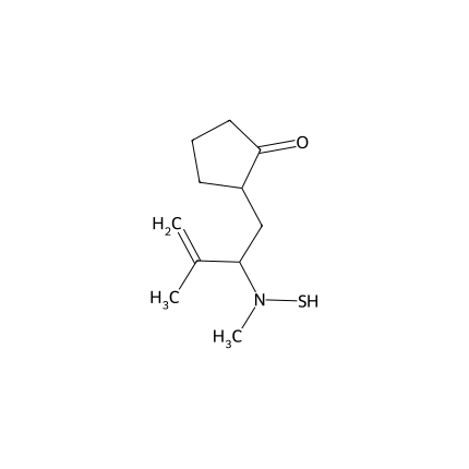 C=C(C)C(CC1CCCC1=O)N(C)S